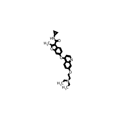 CCN(CC)CCOc1ccc2c(Oc3ccc4c(C(=O)NC5CC5)c(C)oc4c3)ccnc2c1